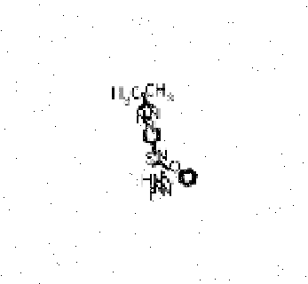 CC(C)c1cnc(N2CCC(c3nc(C(Oc4ccccc4)N4C=NN(F)N4)cs3)CC2)nc1